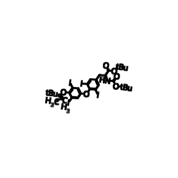 CC(C)(C)OC(=O)N[C@@H](Cc1cc(I)c(Oc2cc(I)c(O[Si](C)(C)C(C)(C)C)c(I)c2)c(I)c1)C(=O)OC(C)(C)C